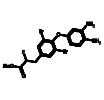 COC(=O)C(F)Cc1cc(Br)c(Oc2ccc(N)c(N)c2)c(Br)c1